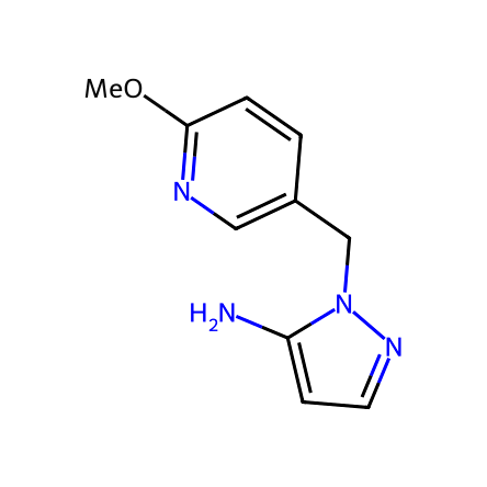 COc1ccc(Cn2nccc2N)cn1